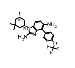 C[C@H]1C[C@@H](n2c(N)nc3c(-c4ccc(OC(F)(F)F)cc4)c(N)ccc32)CC(C)(C)C1